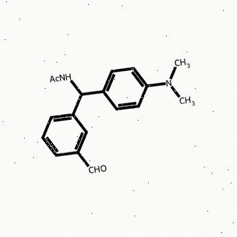 CC(=O)NC(c1ccc(N(C)C)cc1)c1cccc(C=O)c1